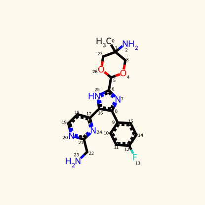 CC1(N)COC(c2nc(-c3ccc(F)cc3)c(-c3ccnc(CN)n3)[nH]2)OC1